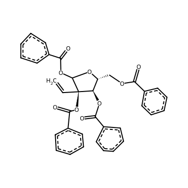 C=C[C@]1(OC(=O)c2ccccc2)C(OC(=O)c2ccccc2)O[C@H](COC(=O)c2ccccc2)[C@H]1OC(=O)c1ccccc1